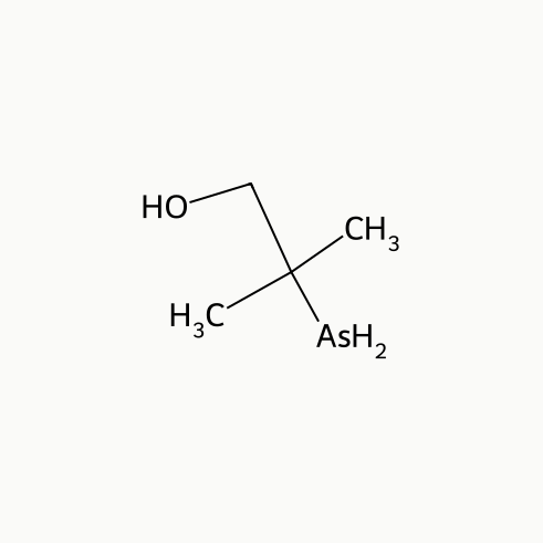 CC(C)([AsH2])CO